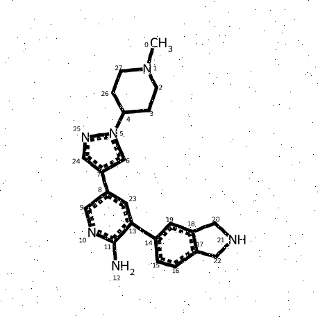 CN1CCC(n2cc(-c3cnc(N)c(-c4ccc5c(c4)CNC5)c3)cn2)CC1